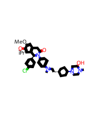 COc1cc2c(cc1OC(C)C)[C@H](c1ccc(Cl)cc1)N(c1ccc(N(C)CC[C@H]3CC[C@H](N4CCN(C)C(O)C4)CC3)cc1)C(=O)C2